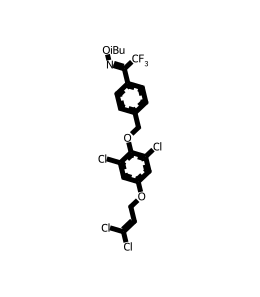 CC(C)CON=C(c1ccc(COc2c(Cl)cc(OCC=C(Cl)Cl)cc2Cl)cc1)C(F)(F)F